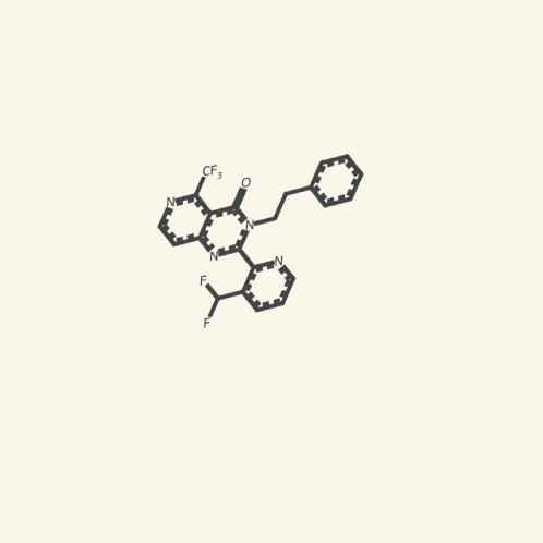 O=c1c2c(C(F)(F)F)nccc2nc(-c2ncccc2C(F)F)n1CCc1ccccc1